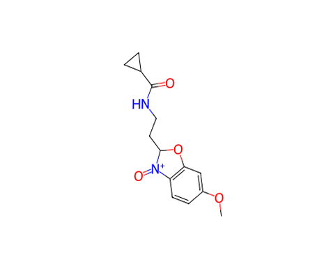 COc1ccc2c(c1)OC(CCNC(=O)C1CC1)[N+]2=O